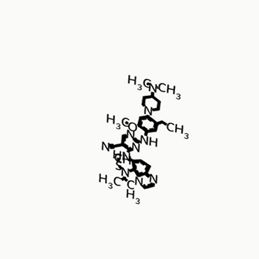 CCc1cc(Nc2ncc(C#N)c(Nc3ccc4nccnc4c3N(SC)C(C)C)n2)c(OC)cc1N1CCC(N(C)C)CC1